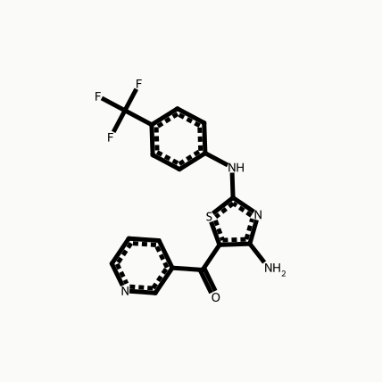 Nc1nc(Nc2ccc(C(F)(F)F)cc2)sc1C(=O)c1cccnc1